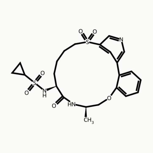 C[C@@H]1COc2ccccc2-c2cncc(c2)S(=O)(=O)CCCC[C@H](NS(=O)(=O)C2CC2)C(=O)N1